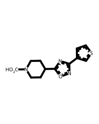 O=C(O)N1CCC(c2nc(-c3ccsc3)no2)CC1